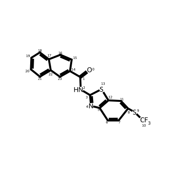 O=C(Nc1nc2ccc(SC(F)(F)F)cc2s1)c1ccc2ccccc2c1